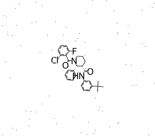 CC(C)(C)c1cccc(NC(=O)[C@H]2CCCN(C(=O)c3c(F)cccc3Cl)[C@H]2c2ccccc2)c1